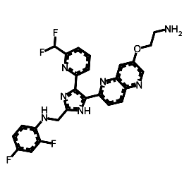 NCCOc1cnc2ccc(-c3[nH]c(CNc4ccc(F)cc4F)nc3-c3cccc(C(F)F)n3)nc2c1